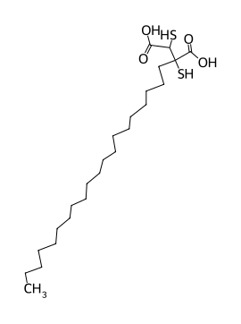 CCCCCCCCCCCCCCCCCCCCC(S)(C(=O)O)C(S)C(=O)O